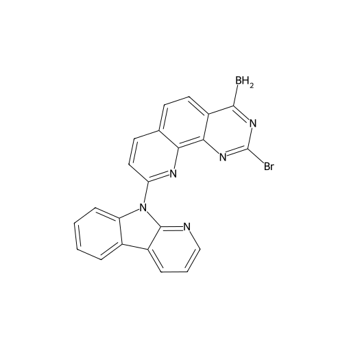 Bc1nc(Br)nc2c1ccc1ccc(-n3c4ccccc4c4cccnc43)nc12